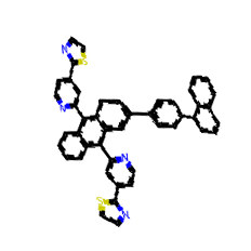 c1ccc2c(-c3ccc(-c4ccc5c(-c6cc(-c7nccs7)ccn6)c6ccccc6c(-c6cc(-c7nccs7)ccn6)c5c4)cc3)cccc2c1